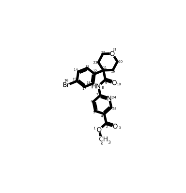 COC(=O)c1ccc(NC(=O)C2(c3ccc(Br)cc3)CCOCC2)nc1